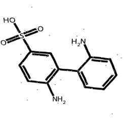 Nc1ccccc1-c1cc(S(=O)(=O)O)ccc1N